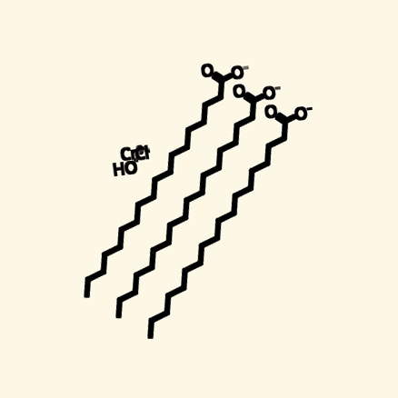 CCCCCCCCCCCCCCCCCC(=O)[O-].CCCCCCCCCCCCCCCCCC(=O)[O-].CCCCCCCCCCCCCCCCCC(=O)[O-].OCl.[Cr+3]